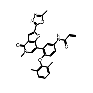 C=CC(=O)Nc1ccc(Oc2c(C)cccc2C)c(-c2cn(C)c(=O)c3cc(-c4nnc(C)o4)sc23)c1